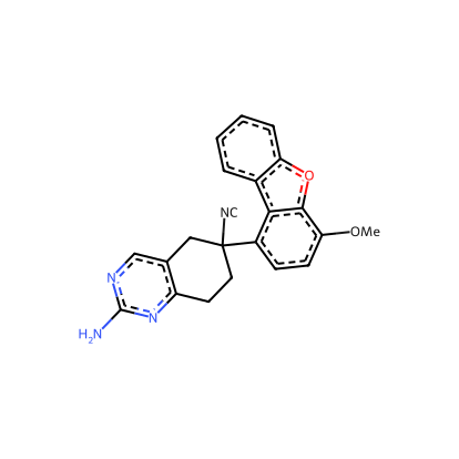 [C-]#[N+]C1(c2ccc(OC)c3oc4ccccc4c23)CCc2nc(N)ncc2C1